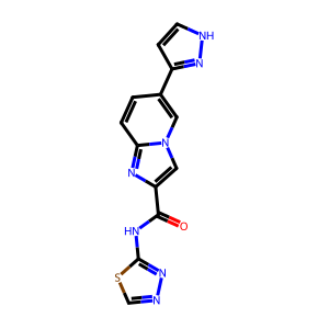 O=C(Nc1nncs1)c1cn2cc(-c3cc[nH]n3)ccc2n1